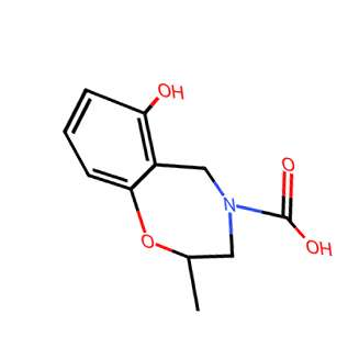 CC1CN(C(=O)O)Cc2c(O)cccc2O1